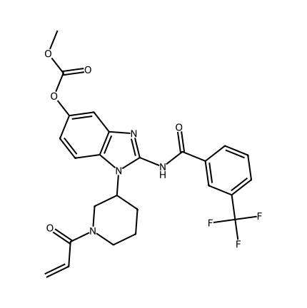 C=CC(=O)N1CCCC(n2c(NC(=O)c3cccc(C(F)(F)F)c3)nc3cc(OC(=O)OC)ccc32)C1